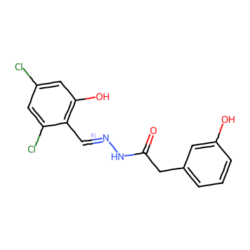 O=C(Cc1cccc(O)c1)N/N=C/c1c(O)cc(Cl)cc1Cl